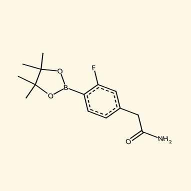 CC1(C)OB(c2ccc(CC(N)=O)cc2F)OC1(C)C